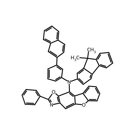 CC1(C)c2ccccc2-c2ccc(N(c3cccc(-c4ccc5ccccc5c4)c3)c3c4oc(-c5ccccc5)nc4cc4oc5ccccc5c34)cc21